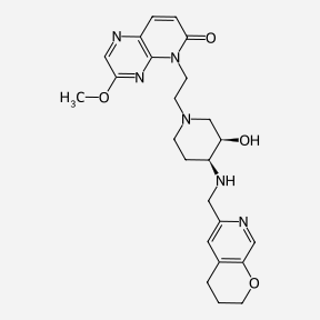 COc1cnc2ccc(=O)n(CCN3CC[C@H](NCc4cc5c(cn4)OCCC5)[C@H](O)C3)c2n1